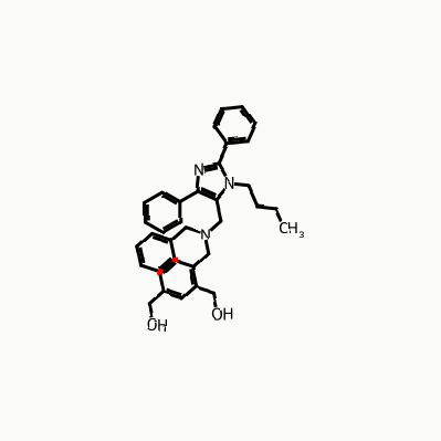 CCCCn1c(-c2ccccc2)nc(-c2ccccc2)c1CN(Cc1ccccc1)Cc1ccc(CO)cc1CO